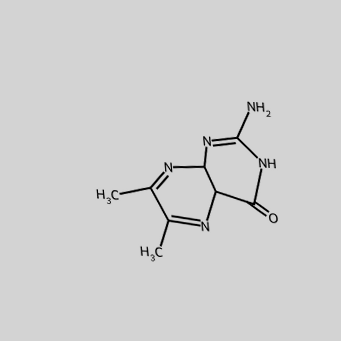 CC1=NC2N=C(N)NC(=O)C2N=C1C